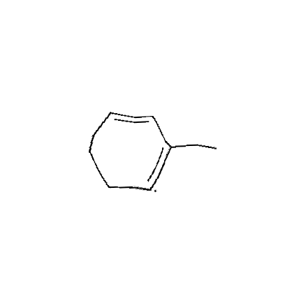 CC1=[C]CCC=C1